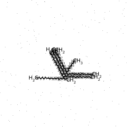 C=CCCCCCCCCCCCCCCCCC(CC=C)C(CCCCCCCCCCCCCCCCC=C)C(CCCCCCCCCCCCCCCCC=C)C(CCCCCCCCCCCCCCCCC=C)C(CCCCCCCCCCCCCCCCC=C)C(CCCCCCCCC)CCCCCCCCCCCCCCCC(=C)C